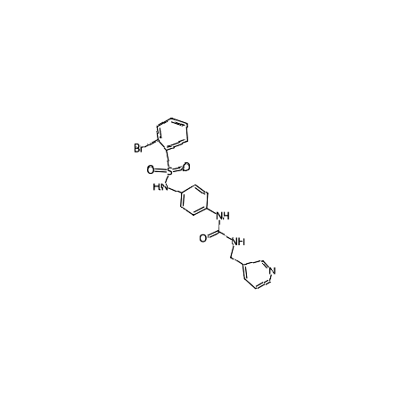 O=C(NCc1cccnc1)Nc1ccc(NS(=O)(=O)c2ccccc2Br)cc1